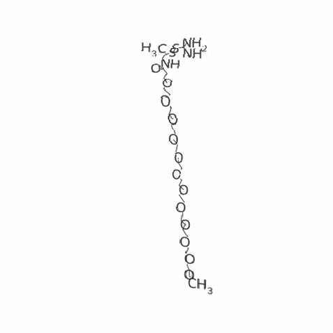 COCCOCCOCCOCCOCCOCCOCCOCCOCCOCCOCCOCCC(=O)NCC(C)SSC(=N)N